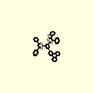 c1ccc(-c2cc(-c3ccccc3)nc(-c3cc(-c4ccc5c6ccccc6c6ccccc6c5c4)cc(-c4nc(-c5ccccc5)c5c(n4)sc4ccccc45)c3)n2)cc1